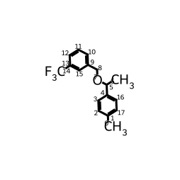 Cc1ccc(C(C)OCc2cccc(C(F)(F)F)c2)cc1